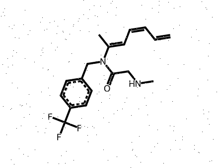 C=C/C=C\C=C(/C)N(Cc1ccc(C(F)(F)F)cc1)C(=O)CNC